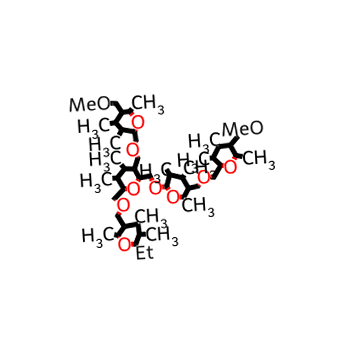 CCC1OC(C)C(COCC2OC(COC3OC(C)C(COCC4OC(C)C(COC)C(C)C4C)C(C)C3C)C(COCC3OC(C)C(COC)C(C)C3C)C(C)C2C)C(C)C1C